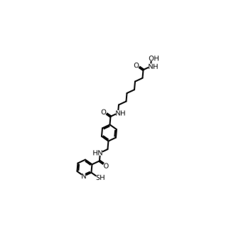 O=C(CCCCCCNC(=O)c1ccc(CNC(=O)c2cccnc2S)cc1)NO